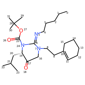 CCCCCN=C1N(CCC2=CCCCC2)CC(=O)[C@H](CC(C)C)N1C(=O)OC(C)(C)C